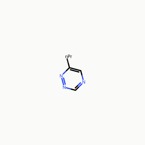 CCCc1cncnn1